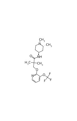 C[C@@H]1C[C@@H](NC(=O)C(C)(C)COc2ncccc2OC(F)(F)F)CCN1C